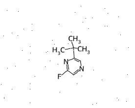 CC(C)(C)c1cncc(F)n1